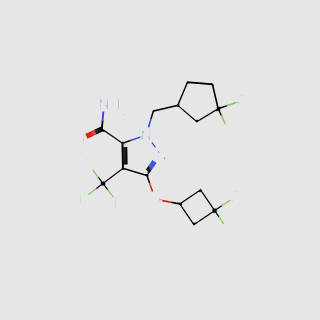 NC(=O)c1c(C(F)(F)F)c(OC2CC(F)(F)C2)nn1CC1CCC(F)(F)C1